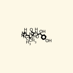 CC1(C)S[C@@H]2C(NC(=O)C(O)c3ccc(O)cc3)C(=O)N2C1c1nnn[nH]1